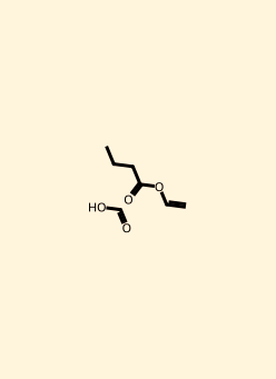 C=COC(=O)CCC.O=CO